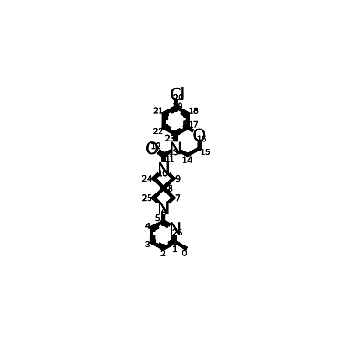 Cc1cccc(N2CC3(CN(C(=O)N4CCOc5cc(Cl)ccc54)C3)C2)n1